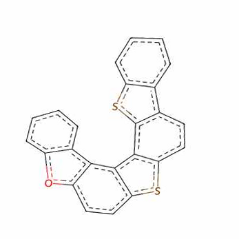 c1ccc2c(c1)oc1ccc3sc4ccc5c6ccccc6sc5c4c3c12